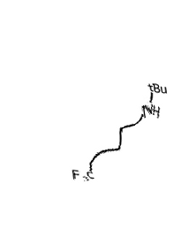 CC(C)(C)NCCCC(F)(F)F